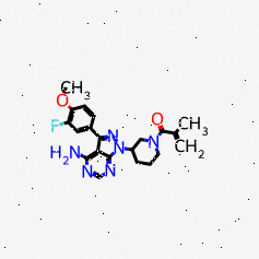 C=C(C)C(=O)N1CCCC(n2nc(-c3ccc(OC)c(F)c3)c3c(N)ncnc32)C1